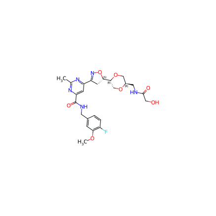 COc1cc(CNC(=O)c2cc(C3=NO[C@H]([C@H]4CO[C@H](CNC(=O)CO)CO4)C3)nc(C)n2)ccc1F